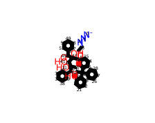 [N-]=[N+]=NCCO[C@H]1O[C@H](C(O)C(c2ccccc2)(c2ccccc2)c2ccccc2)[C@](O)(C(=O)c2ccccc2)[C@H](O)[C@@]1(O)C(=O)c1ccccc1